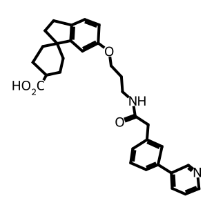 O=C(Cc1cccc(-c2cccnc2)c1)NCCCOc1ccc2c(c1)C1(CC2)CCC(C(=O)O)CC1